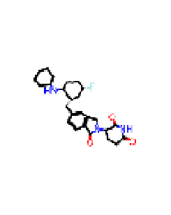 O=C1CCC(N2Cc3cc(C[C@H]4C[C@@H](F)CC[C@@H]4NC4CCCCC4)ccc3C2=O)C(=O)N1